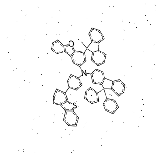 CC1(c2cc(N(c3ccc(-c4cccc5c4sc4ccccc45)cc3)c3ccc4c(c3)C(c3ccccc3)(c3ccccc3)c3ccccc3-4)cc3c2oc2ccccc23)c2ccccc2-c2ccccc21